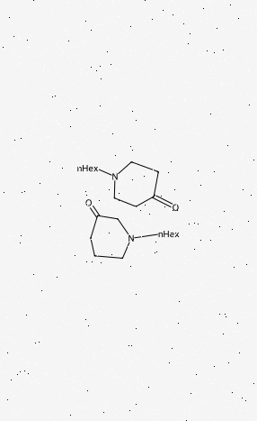 CCCCCCN1CCC(=O)CC1.CCCCCCN1CCCC(=O)C1